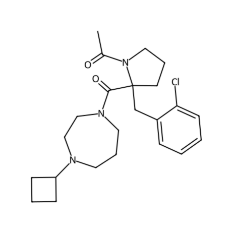 CC(=O)N1CCCC1(Cc1ccccc1Cl)C(=O)N1CCCN(C2CCC2)CC1